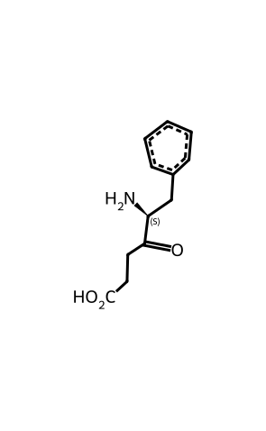 N[C@@H](Cc1ccccc1)C(=O)CCC(=O)O